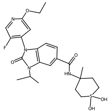 CCOc1cc(-n2c(=O)n(C(C)C)c3cc(C(=O)NC4(C)CCS(O)(O)CC4)ccc32)c(F)cn1